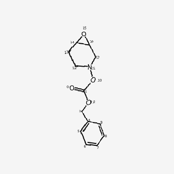 O=C(OCc1ccccc1)ON1CCC2OC2C1